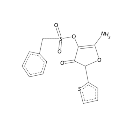 NC1=C(OS(=O)(=O)Cc2ccccc2)C(=O)C(c2cccs2)O1